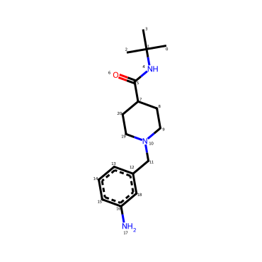 CC(C)(C)NC(=O)C1CCN(Cc2cccc(N)c2)CC1